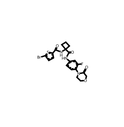 O=C(NC1(C(=O)Nc2ccc(N3CCOCC3=O)c(F)c2)CCC1)c1ccc(Br)s1